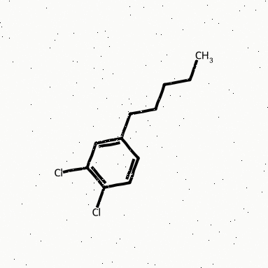 CCCCCc1ccc(Cl)c(Cl)c1